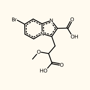 COC(Cc1c(C(=O)O)nc2cc(Br)ccn12)C(=O)O